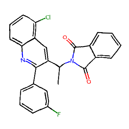 CC(c1cc2c(Cl)cccc2nc1-c1cccc(F)c1)N1C(=O)c2ccccc2C1=O